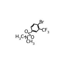 CN(C)S(=O)(=O)c1ccc(Br)c(C(F)(F)F)c1